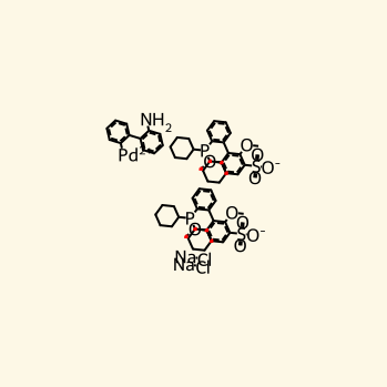 COc1ccc(S(=O)(=O)[O-])c(OC)c1-c1ccccc1P(C1CCCCC1)C1CCCCC1.COc1ccc(S(=O)(=O)[O-])c(OC)c1-c1ccccc1P(C1CCCCC1)C1CCCCC1.Nc1ccccc1-c1cccc[c]1[Pd+2].[Na][Cl].[Na][Cl]